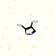 Cc1sncc1C(=O)O